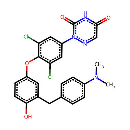 CN(C)c1ccc(Cc2cc(Oc3c(Cl)cc(-n4ncc(=O)[nH]c4=O)cc3Cl)ccc2O)cc1